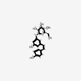 OC[C@H]1O[C@@H](Oc2cc(O)cc(/C=C\c3ccc(O)cc3)c2)[C@H](O)[C@@H](O)[C@@H]1O